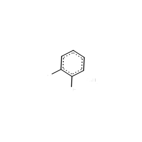 Oc1ccccc1S.[CaH2]